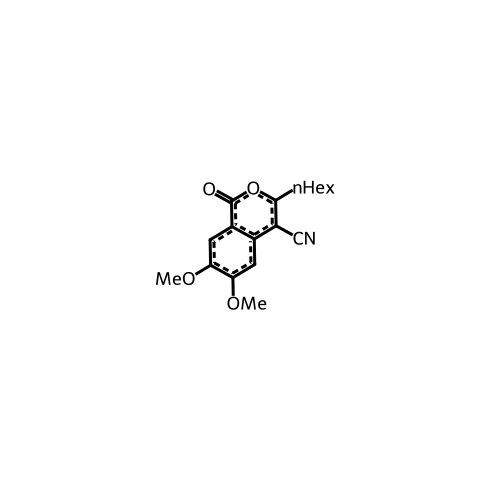 CCCCCCc1oc(=O)c2cc(OC)c(OC)cc2c1C#N